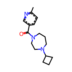 Cc1ccc(C(=O)N2CCCN(C3CCC3)CC2)cn1